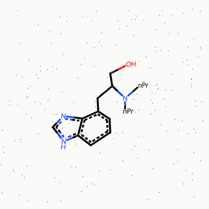 CCCN(CCC)C(CO)Cc1cccc2[nH]cnc12